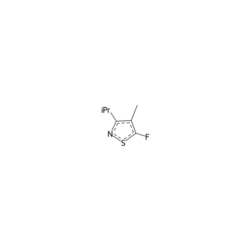 Cc1c(C(C)C)nsc1F